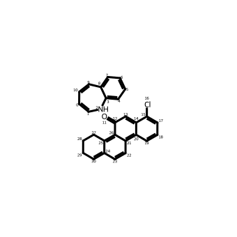 C1=CNc2ccccc2C=C1.O=C1C=c2c(Cl)cccc2=c2ccc3c(c21)CCCC=3